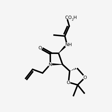 C=CCN1C(=O)[C@@H](N/C(C)=C/C(=O)O)[C@H]1[C@@H]1COC(C)(C)O1